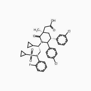 C[C@]1(CC(=O)O)C[C@H](c2cccc(Cl)c2)C(c2ccc(Cl)cc2)N([C@H](CN(c2ccccc2F)S(=O)(=O)C2CC2)C2CC2)C1=O